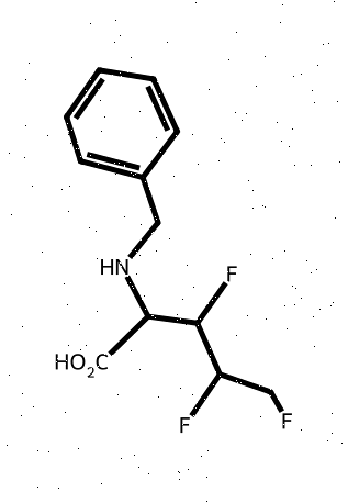 O=C(O)C(NCc1ccccc1)C(F)C(F)CF